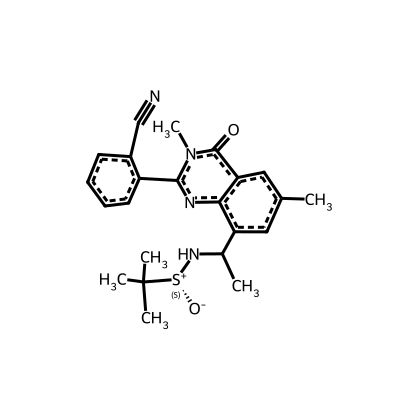 Cc1cc(C(C)N[S@+]([O-])C(C)(C)C)c2nc(-c3ccccc3C#N)n(C)c(=O)c2c1